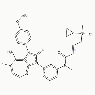 CCCCOc1ccc(-n2c3c(n(-c4cccc(N(C)C(=O)/C=C/C[N+](C)([O-])C5CC5)c4)c2=O)=NC=C=C(C)C=3N)cc1